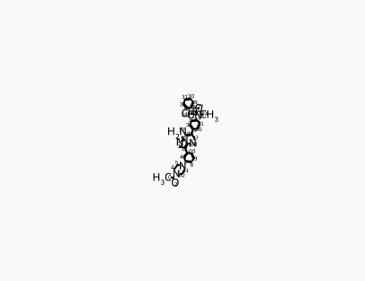 CC(=O)N1CCN(c2cccc(-c3cnn4c(N)c(-c5ccc(N(C)S(=O)(=O)c6ccccc6Cl)cc5)cnc34)c2)CC1